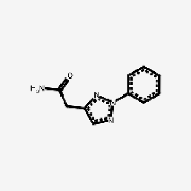 NC(=O)Cc1cnn(-c2ccccc2)n1